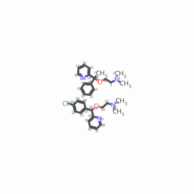 CN(C)CCOC(C)(c1ccccc1)c1ccccn1.CN(C)CCOC(c1ccc(Cl)cc1)c1ccccn1